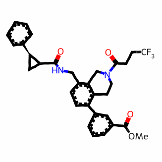 COC(=O)c1cccc(-c2ccc(CNC(=O)C3C[C@H]3c3ccccc3)c3c2CCN(C(=O)CCC(F)(F)F)C3)c1